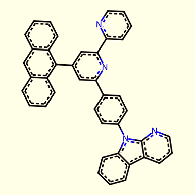 c1ccc(-c2cc(-c3c4ccccc4cc4ccccc34)cc(-c3ccc(-n4c5ccccc5c5cccnc54)cc3)n2)nc1